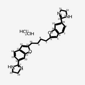 Cl.Cl.c1cc2cc(CCCCc3cc4ccc(C5=NCCN5)cc4o3)oc2cc1C1=NCCN1